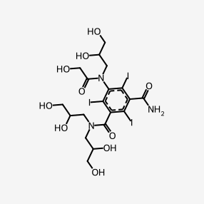 NC(=O)c1c(I)c(C(=O)N(CC(O)CO)CC(O)CO)c(I)c(N(CC(O)CO)C(=O)CO)c1I